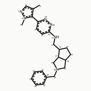 Cc1cnn(C)c1-c1ccc(NCC2CCC3CN(Cc4ccccc4)CC23)nn1